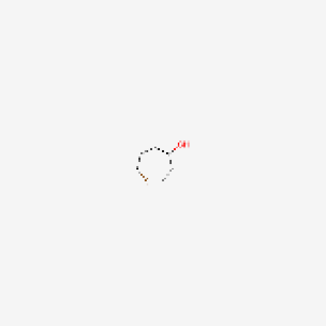 OC1CCCSCC1